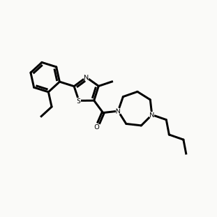 CCCCN1CCCN(C(=O)c2sc(-c3ccccc3CC)nc2C)CC1